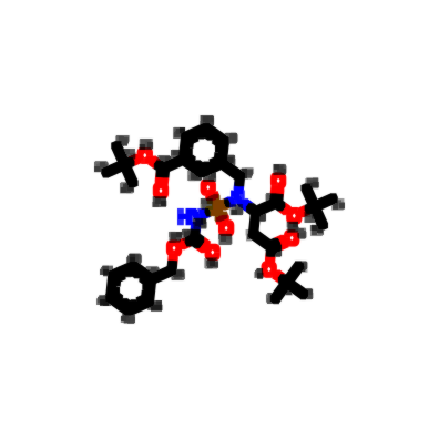 CC(C)(C)OC(=O)CC(C(=O)OC(C)(C)C)N(Cc1cccc(C(=O)OC(C)(C)C)c1)S(=O)(=O)NC(=O)OCc1ccccc1